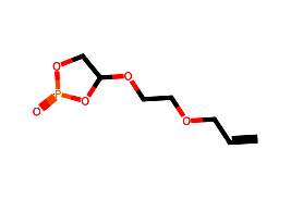 C=CCOCCOC1CO[P](=O)O1